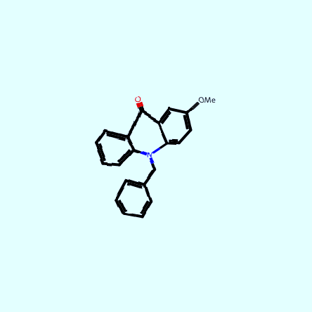 COc1ccc2c(c1)c(=O)c1ccccc1n2Cc1ccccc1